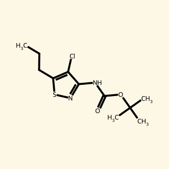 CCCc1snc(NC(=O)OC(C)(C)C)c1Cl